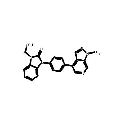 Cn1ncc2c(-c3ccc(-n4c(=O)n(CC(=O)O)c5ccccc54)cc3)cncc21